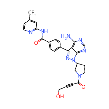 Nc1ncnc2c1c(-c1ccc(C(=O)Nc3cc(C(F)(F)F)ccn3)cc1)nn2C1CCN(C(=O)C#CCO)C1